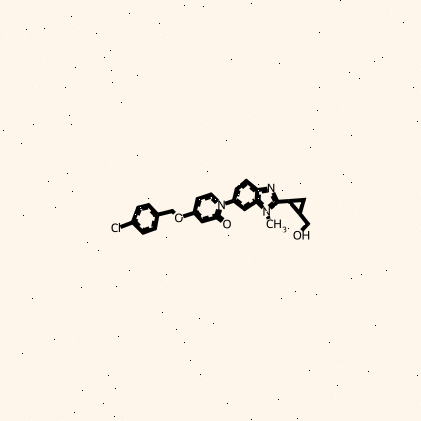 Cn1c(C2CC2CO)nc2ccc(-n3ccc(OCc4ccc(Cl)cc4)cc3=O)cc21